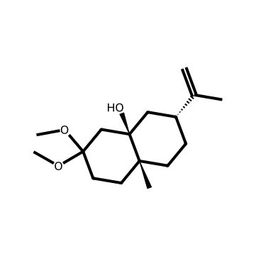 C=C(C)[C@@H]1CC[C@]2(C)CCC(OC)(OC)C[C@]2(O)C1